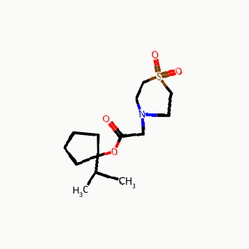 CC(C)C1(OC(=O)CN2CCS(=O)(=O)CC2)CCCC1